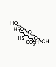 O=C(O)CCCCC(S)CCS.OCCOCCOCCOCCO